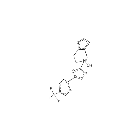 O[N+]1(c2ncc(-c3ccc(C(F)(F)F)cc3)s2)CCc2sccc2C1